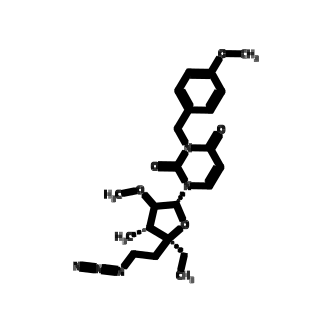 CC[C@@]1(CCN=[N+]=[N-])O[C@@H](n2ccc(=O)n(Cc3ccc(OC)cc3)c2=O)C(OC)[C@H]1C